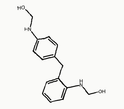 OCNc1ccc(Cc2ccccc2NCO)cc1